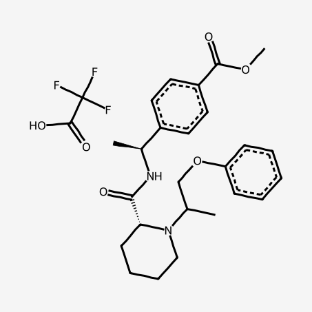 COC(=O)c1ccc([C@H](C)NC(=O)[C@H]2CCCCN2C(C)COc2ccccc2)cc1.O=C(O)C(F)(F)F